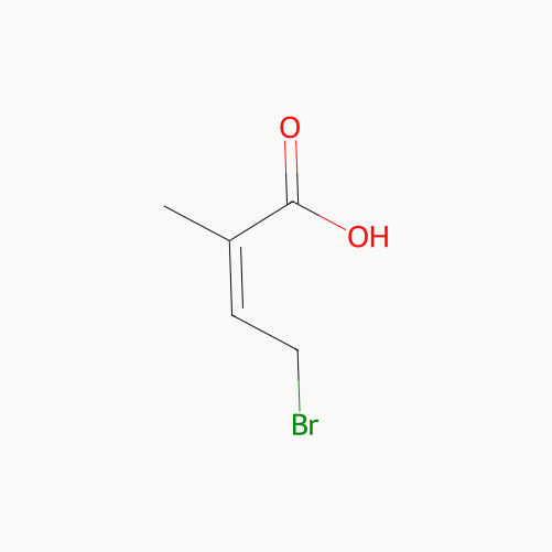 CC(=CCBr)C(=O)O